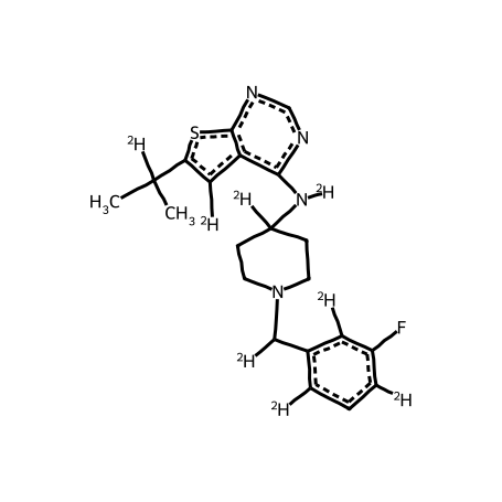 [2H]c1cc([2H])c(C([2H])N2CCC([2H])(N([2H])c3ncnc4sc(C([2H])(C)C)c([2H])c34)CC2)c([2H])c1F